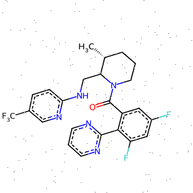 C[C@@H]1CCCN(C(=O)c2cc(F)cc(F)c2-c2ncccn2)C1CNc1ccc(C(F)(F)F)cn1